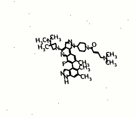 Cc1cc2[nH]ncc2c(-c2c(C)cc3c(nc(N4CC(C)(N(C)C)C4)c4cnn(C5CCN(C(=O)/C=C/CN(C)C)CC5)c43)c2F)c1C